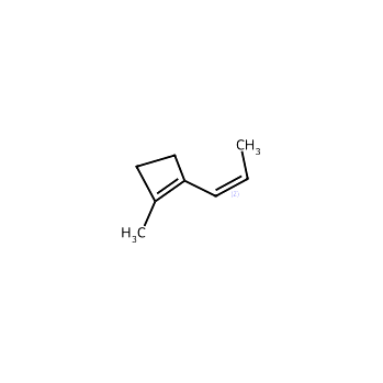 C/C=C\C1=C(C)CC1